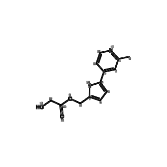 Cc1cc(-c2ccc(COC(=O)CO)s2)ccn1